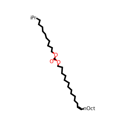 CCCCCCCC/C=C\CCCCCCCCCCCCOC(=O)OCCCCCCCCCCC(C)C